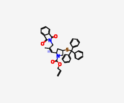 C=CCOC(=O)N1CC(SC(c2ccccc2)(c2ccccc2)c2ccccc2)CC1/C=C(/C)CN1C(=O)c2ccccc2C1=O